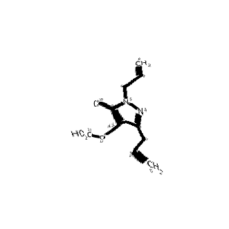 C=CCc1nn(CC=C)c(Cl)c1OC(=O)O